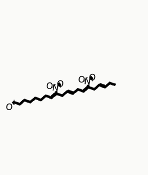 CC/C=C/C/C(=C/C/C=C/C/C(=C/CCCCCC[C]=O)[N+](=O)[O-])[N+](=O)[O-]